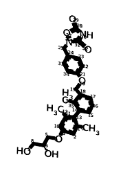 Cc1cc(OC[C@H](O)CO)cc(C)c1-c1cccc(COc2ccc(Cn3oc(=O)[nH]c3=O)cc2)c1C